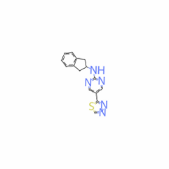 c1ccc2c(c1)CC(Nc1ncc(-c3nncs3)cn1)C2